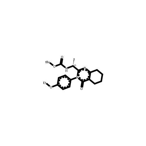 CCOc1ccc(-n2c([C@@H](C)NC(=O)OC(C)(C)C)nc3c(c2=O)CCCC3)cc1